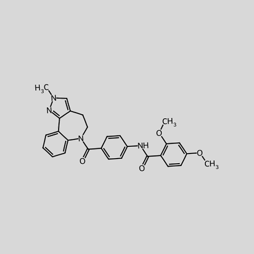 COc1ccc(C(=O)Nc2ccc(C(=O)N3CCc4cn(C)nc4-c4ccccc43)cc2)c(OC)c1